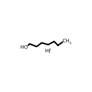 CCCCCCCO.[Hf]